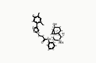 Cc1cc(C)c(-c2cn(CCC(=O)Nc3ccccc3[C@@H]3C[C@]45C[C@@]4(C)[C@@H](O)CC[C@H]5CN3C#N)nn2)cc1C